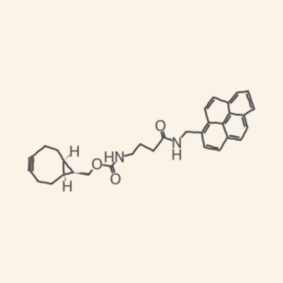 O=C(CCCNC(=O)OC[C@@H]1[C@@H]2CCC#CCC[C@@H]21)NCc1ccc2ccc3cccc4ccc1c2c34